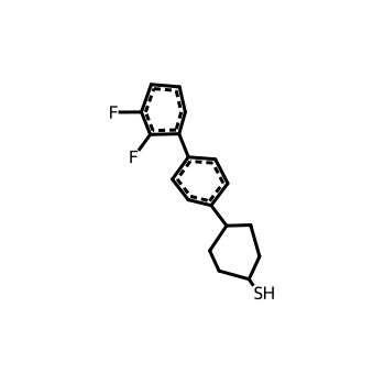 Fc1cccc(-c2ccc(C3CCC(S)CC3)cc2)c1F